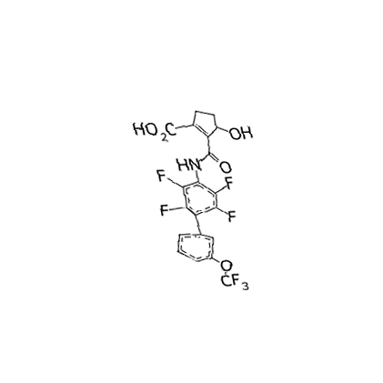 O=C(O)C1=C(C(=O)Nc2c(F)c(F)c(-c3cccc(OC(F)(F)F)c3)c(F)c2F)C(O)CC1